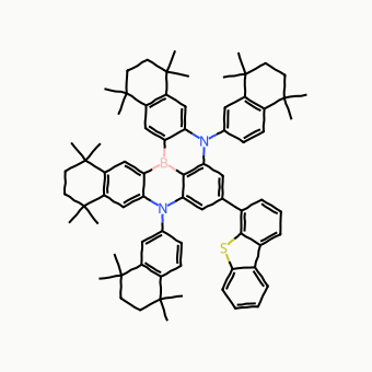 CC1(C)CCC(C)(C)c2cc(N3c4cc5c(cc4B4c6cc7c(cc6N(c6ccc8c(c6)C(C)(C)CCC8(C)C)c6cc(-c8cccc9c8sc8ccccc89)cc3c64)C(C)(C)CCC7(C)C)C(C)(C)CCC5(C)C)ccc21